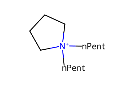 CCCCC[N+]1(CCCCC)CCCC1